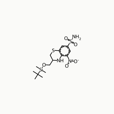 CC(C)(C)[Si](C)(C)OCC1CSc2cc(S(N)(=O)=O)cc([N+](=O)[O-])c2N1